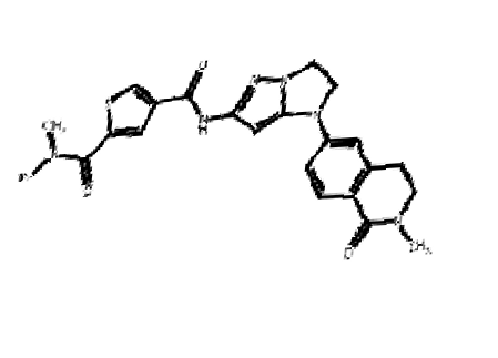 CC(C)N(C)C(=O)c1cc(C(=O)Nc2cc3n(n2)CCN3c2ccc3c(c2)CCN(C)C3=O)cs1